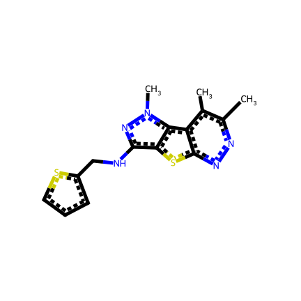 Cc1nnc2sc3c(NCc4cccs4)nn(C)c3c2c1C